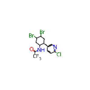 O=C(NC1CC(Br)C(Br)CC1c1ccc(Cl)nc1)C(F)(F)F